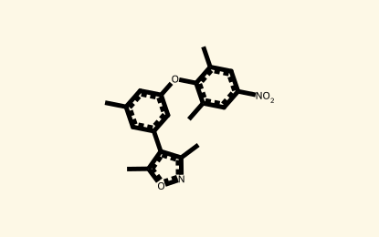 Cc1cc(Oc2c(C)cc([N+](=O)[O-])cc2C)cc(-c2c(C)noc2C)c1